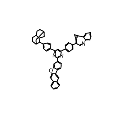 C1=Nc2ccccc2C2=CC2=C1c1ccc(-c2cc(-c3ccc(C4C5CCC6CCC(C5)CC64)cc3)nc(-c3ccc4c(c3)oc3cc5ccccc5cc34)n2)cc1